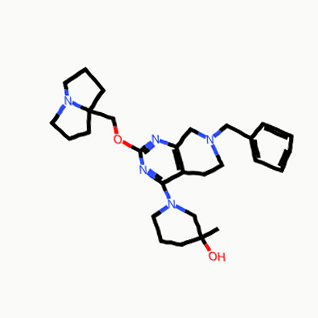 CC1(O)CCCN(c2nc(OCC34CCCN3CCC4)nc3c2CCN(Cc2ccccc2)C3)C1